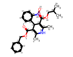 CC1=C(C(=O)OCc2ccccc2)C(c2ccccc2[N+](=O)[O-])C(C(=O)OCC(C)C)=C(C)N1